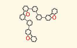 c1cc(-c2cccc(-c3cccc4c3oc3c(-c5cccc(-c6ccc7oc8ccccc8c7c6)c5)cccc34)c2)cc(-c2ccc3oc4ccccc4c3c2)c1